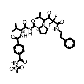 CC(C)C(C(=O)C(F)(F)C(=O)NCCc1ccccc1)N1CCC[C@H]1C(=O)NC(=O)[C@@H](NC(=O)c1ccc(C(=O)NS(C)(=O)=O)cc1)C(C)C